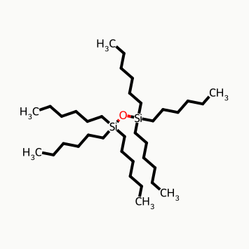 CCCCCC[Si](CCCCCC)(CCCCCC)O[Si](CCCCCC)(CCCCCC)CCCCCC